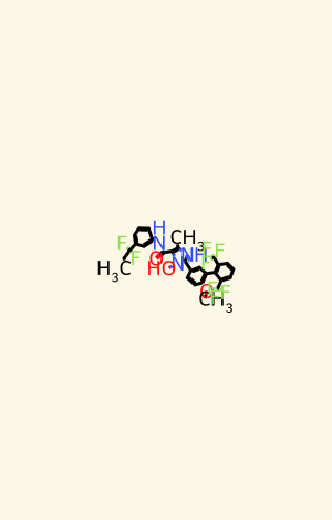 CCC(F)(F)c1cccc(NC(=O)c2c(C)[nH]c(-c3ccc(OC)c(-c4c(C(F)(F)F)cccc4C(F)(F)F)c3)[n+]2O)c1